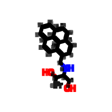 CC(C)C(O)C(CO)NCc1ccc2ccc3cccc4ccc1c2c34